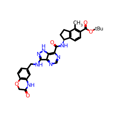 Cc1c(C(=O)OC(C)(C)C)ccc2c1CC[C@@H]2NC(=O)c1ncnc2c(NCc3ccc4c(c3)NC(=O)CO4)n[nH]c12